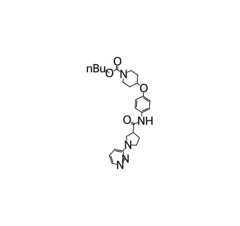 CCCCOC(=O)N1CCC(Oc2ccc(NC(=O)C3CCN(c4cccnn4)C3)cc2)CC1